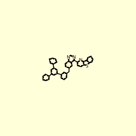 c1ccc(-c2cc(-c3ccccc3)cc(-c3cccc(Cc4ccc5ncnc(-c6ccc7sc8ccccc8c7n6)c5c4)c3)c2)cc1